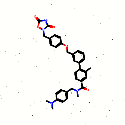 Cc1cc(C(=O)N(C)Cc2ccc(N(C)C)cc2)ccc1-c1cccc(COc2ccc(Cn3oc(=O)[nH]c3=O)cc2)c1